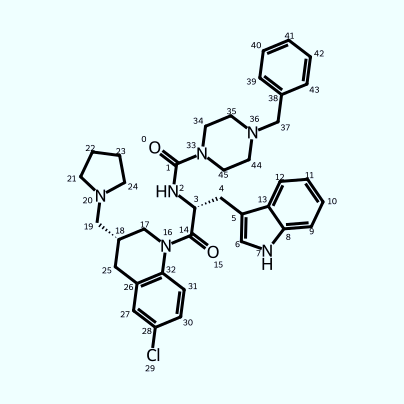 O=C(N[C@H](Cc1c[nH]c2ccccc12)C(=O)N1C[C@@H](CN2CCCC2)Cc2cc(Cl)ccc21)N1CCN(Cc2ccccc2)CC1